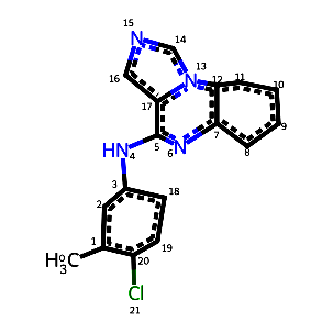 Cc1cc(Nc2nc3ccccc3n3cncc23)ccc1Cl